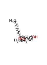 CCCCCCCCCCCCCC1CC(CC(=O)CCc2ccc(O)cc2)OC(C)(C)O1